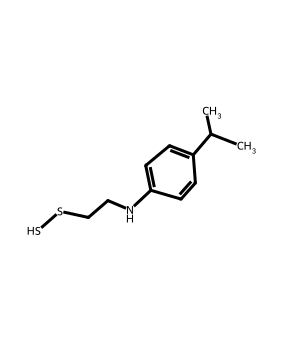 CC(C)c1ccc(NCCSS)cc1